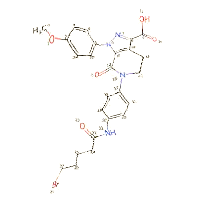 COc1ccc(-n2nc(C(=O)O)c3c2C(=O)N(c2ccc(NC(=O)CCCCBr)cc2)CC3)cc1